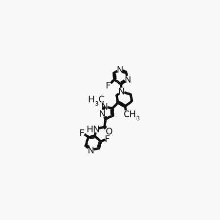 CC1=C(c2cc(C(=O)Nc3c(F)cncc3F)nn2C)CN(c2ncncc2F)CC1